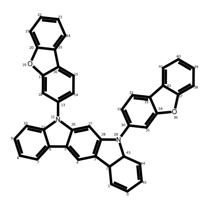 C1=CC2c3cc4c5ccccc5n(-c5ccc6c(c5)oc5ccccc56)c4cc3N(c3ccc4c(c3)oc3ccccc34)C2C=C1